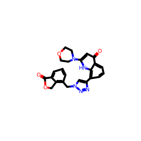 O=C1OCc2c(Cn3cc(-c4cccc5c(=O)cc(N6CCOCC6)[nH]c45)nn3)cccc21